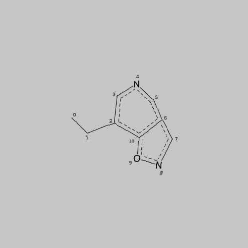 CCc1cncc2cnoc12